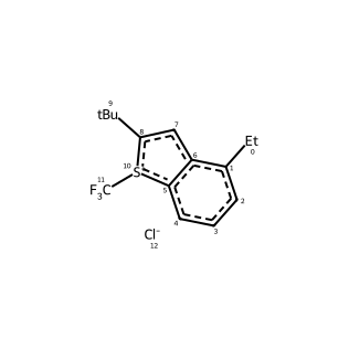 CCc1cccc2c1cc(C(C)(C)C)[s+]2C(F)(F)F.[Cl-]